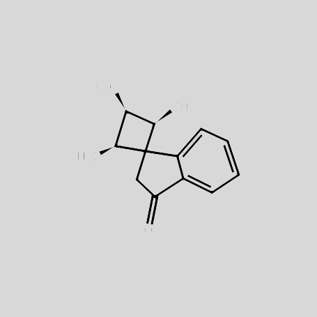 C[C@H]1[C@@H](C)C2(CC(=O)c3ccccc32)[C@H]1C